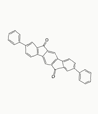 O=c1c2cc(-c3ccccc3)ccc2c2cc3c(=O)c4cc(-c5ccccc5)ccc4c3cc12